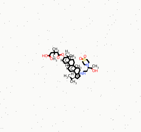 CC(C)[C@@H]1CC[C@]2(NCC[C@H]([C@@H](C)O)N3CCS(=O)(=O)CC3)CC[C@]3(C)[C@H](CC[C@@H]4[C@@]5(C)CC[C@H](OC(=O)CC(C)(C)CC(=O)O)C(C)(C)[C@@H]5CC[C@]43C)[C@@H]12